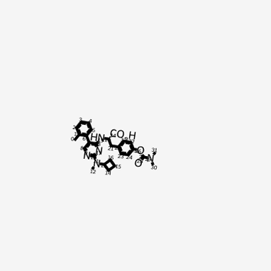 Cc1ccccc1-c1cnc(N(C)C2CCC2)nc1N[C@@H](Cc1ccc(OC(=O)N(C)C)cc1)C(=O)O